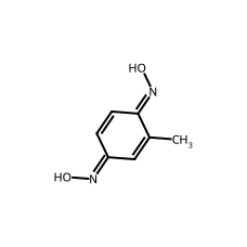 CC1=CC(=NO)C=CC1=NO